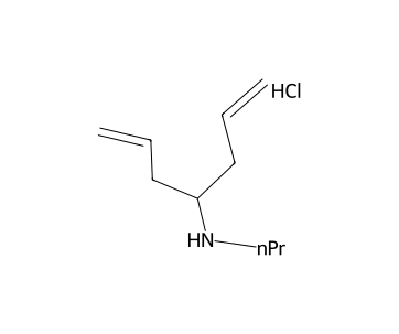 C=CCC(CC=C)NCCC.Cl